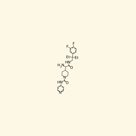 CCC(CC)(CNC(=O)C(N)C1CCN(C(=O)Nc2ccncc2)CC1)c1ccc(F)c(F)c1